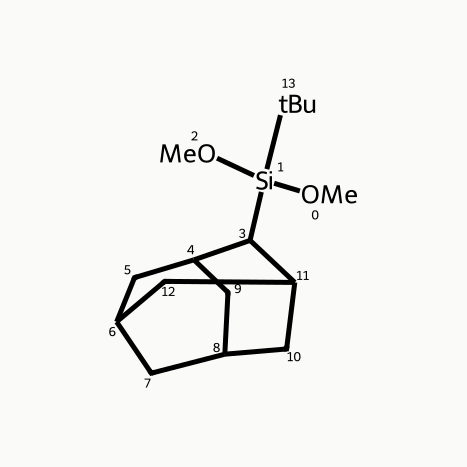 CO[Si](OC)(C1C2CC3CC(C2)CC1C3)C(C)(C)C